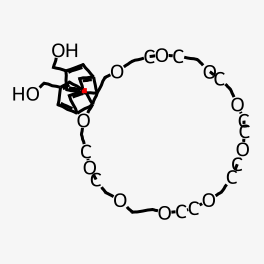 OCC1=CC2=CC(=C1)C21OCCOCCOCCOCCOCCCOCCOCCOCCOCCOCC12c1cc(CO)cc2c1